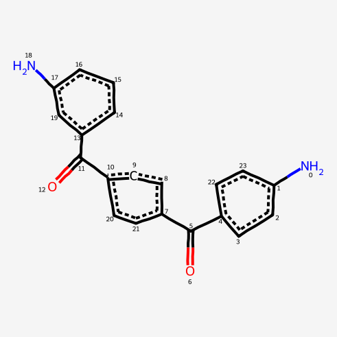 Nc1ccc(C(=O)c2ccc(C(=O)c3cccc(N)c3)cc2)cc1